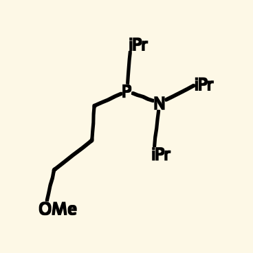 COCCCP(C(C)C)N(C(C)C)C(C)C